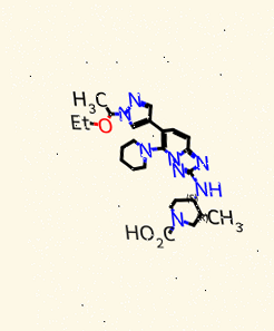 CCOC(C)n1cc(-c2ccc3nc(N[C@H]4CCN(C(=O)O)C[C@H]4C)nn3c2N2CCCCC2)cn1